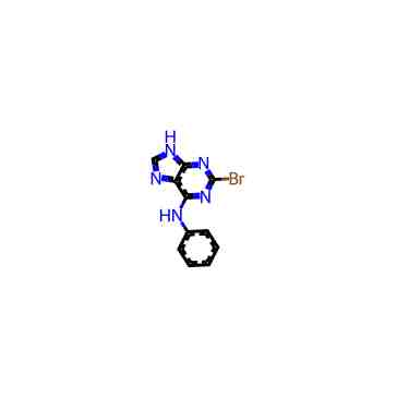 Brc1nc(Nc2ccccc2)c2nc[nH]c2n1